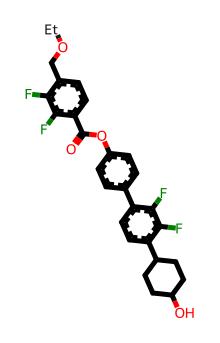 CCOCc1ccc(C(=O)Oc2ccc(-c3ccc(C4CCC(O)CC4)c(F)c3F)cc2)c(F)c1F